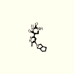 Cc1nnc(-c2c[nH]c(=O)[nH]c2=O)cc1N1CC2CCCC2C1